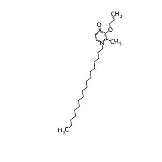 C=CCOc1c(C)n(CCCCCCCCCCCCCCCCCC)ccc1=O